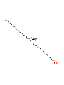 CCCCCCCCCCCCCCCCCCCCCCCCCCCCO.[Mg]